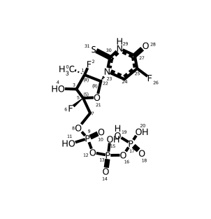 C[C@@]1(F)C(O)[C@@](F)(COP(=O)(O)OP(=O)(O)OP(=O)(O)O)O[C@H]1n1cc(F)c(=O)[nH]c1=S